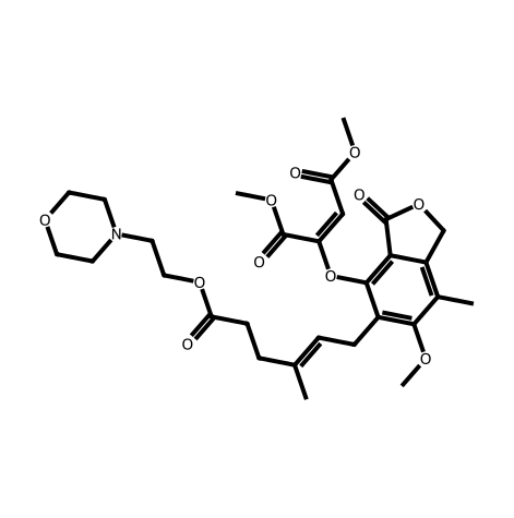 COC(=O)/C=C(/Oc1c(C/C=C(\C)CCC(=O)OCCN2CCOCC2)c(OC)c(C)c2c1C(=O)OC2)C(=O)OC